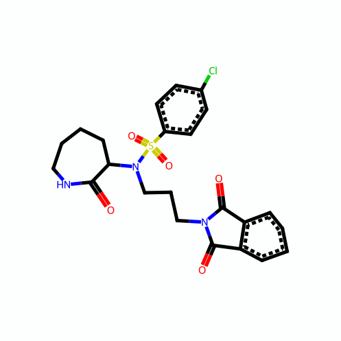 O=C1NCCCCC1N(CCCN1C(=O)c2ccccc2C1=O)S(=O)(=O)c1ccc(Cl)cc1